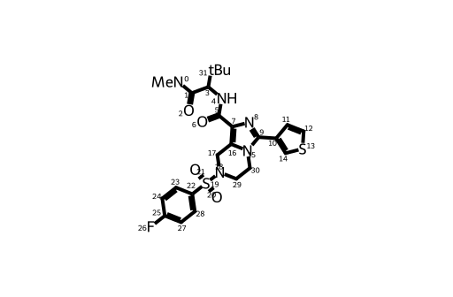 CNC(=O)C(NC(=O)c1nc(-c2ccsc2)n2c1CN(S(=O)(=O)c1ccc(F)cc1)CC2)C(C)(C)C